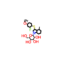 Cc1cccc2c1c(Sc1ccc(OC(C)C)cc1F)cn2[C@@H]1O[C@H](CO)[C@@H](O)[C@H](O)[C@H]1O